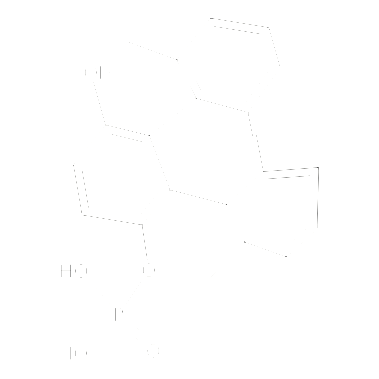 Cc1cccc(C)c1-c1c(O)ccc(OP(=O)(O)O)c1-c1c(C)cccc1C